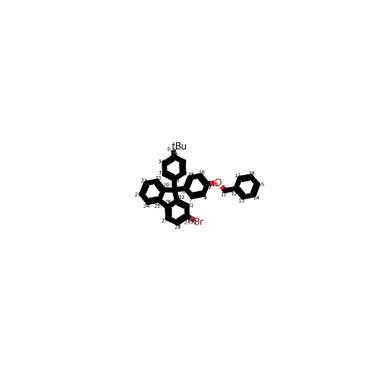 CC(C)(C)c1ccc(C2(c3ccc(OCc4ccccc4)cc3)c3ccccc3-c3ccc(Br)cc32)cc1